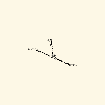 CCCCCC=CCC=CCCCCCCCCOCC(COCCCCCCCCC=CCC=CCCCCC)NCCCNCCCCNCCCN